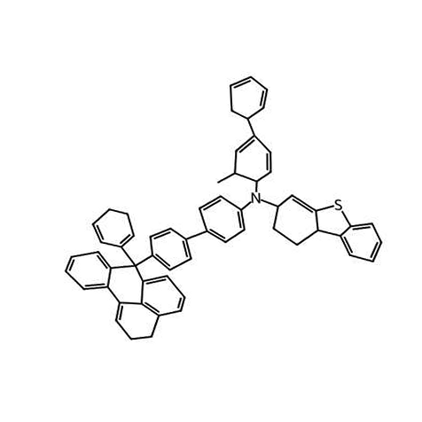 CC1C=C(C2C=CC=CC2)C=CC1N(c1ccc(-c2ccc(C3(C4=CCCC=C4)c4ccccc4C4=CCCc5cccc3c54)cc2)cc1)C1C=C2Sc3ccccc3C2CC1